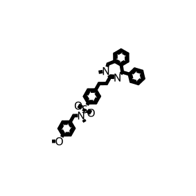 COc1ccc(CN(C)S(=O)(=O)c2ccc(CCC3=NC(c4ccccc4)c4ccccc4CN3C)cc2)cc1